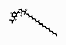 CCCCCCCCCC=CCCCCCCCNC(=O)[C@@H]1CSC(c2cccc(NC(C)=O)c2)N1